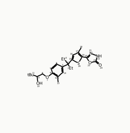 CCC(CC)(c1ccc(OCC(O)C(C)(C)C)c(C)c1)c1cc(C)c(-c2n[nH]c(=O)o2)s1